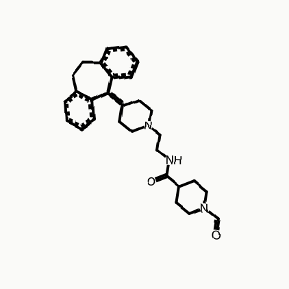 O=CN1CCC(C(=O)NCCN2CCC(=C3c4ccccc4CCc4ccccc43)CC2)CC1